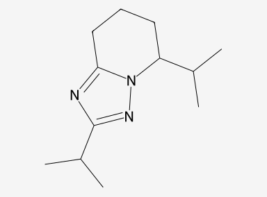 CC(C)c1nc2n(n1)C(C(C)C)CCC2